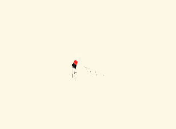 [O]=[Ir].[Ru].[Ti]